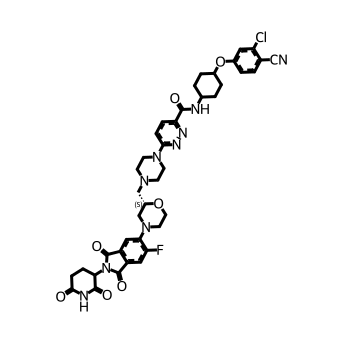 N#Cc1ccc(OC2CCC(NC(=O)c3ccc(N4CCN(C[C@H]5CN(c6cc7c(cc6F)C(=O)N(C6CCC(=O)NC6=O)C7=O)CCO5)CC4)nn3)CC2)cc1Cl